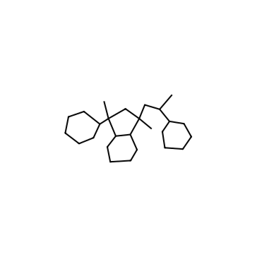 CC(CC1(C)CC(C)(C2CCCCC2)C2CCCCC21)C1CCCCC1